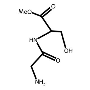 COC(=O)C(CO)NC(=O)CN